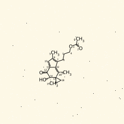 CC(=O)OCCCC1=C(C)C=C2C(=O)[C@](C)(O)C3(CC3)C(C)=C21